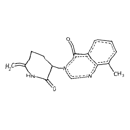 C=C1CCC(n2cnc3c(C)cccc3c2=O)C(=O)N1